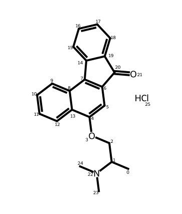 CC(COc1cc2c(c3ccccc13)-c1ccccc1C2=O)N(C)C.Cl